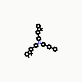 CC1CC=CC2=C1C(C)(C)c1cc(-c3ccc(N(c4ccc(-c5ccc(-c6ccccc6)cc5)cc4)c4ccc(-c5ccc6c(c5)C(C)(C)c5ccccc5-6)cc4)cc3)ccc12